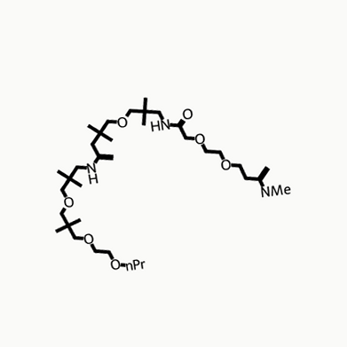 C=C(CCOCCOCC(=O)NCC(C)(C)COCC(C)(C)CC(=C)NCC(C)(C)COCC(C)(C)COCCOCCC)NC